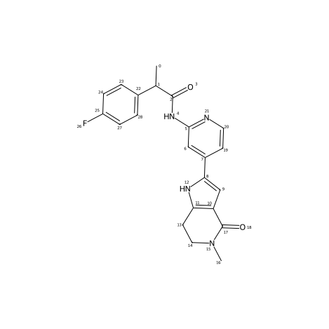 CC(C(=O)Nc1cc(-c2cc3c([nH]2)CCN(C)C3=O)ccn1)c1ccc(F)cc1